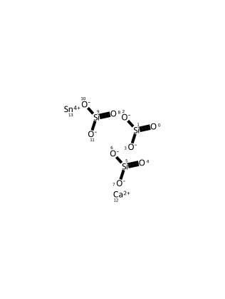 O=[Si]([O-])[O-].O=[Si]([O-])[O-].O=[Si]([O-])[O-].[Ca+2].[Sn+4]